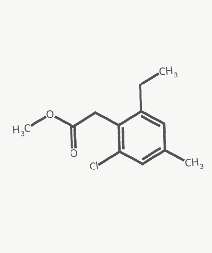 CCc1cc(C)cc(Cl)c1CC(=O)OC